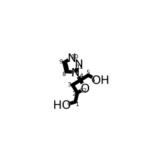 OCC1CC(CO)(n2ccnn2)O1